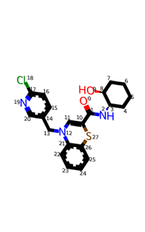 O=C(N[C@H]1CCCC[C@@H]1O)C1=CN(Cc2ccc(Cl)nc2)c2ccccc2S1